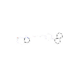 O=C1NCCc2ccc(OCCCCN3CCN(c4cccc5ccccc45)CC3)nc2N1